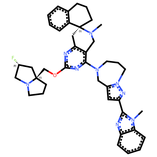 CN1Cc2c(nc(OC[C@@]34CCCN3C[C@H](F)C4)nc2N2CCCn3nc(-c4nc5ccccc5n4C)cc3C2)C[C@]12CCCc1ccccc12